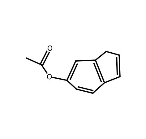 CC(=O)Oc1ccc2c(c1)CC=C2